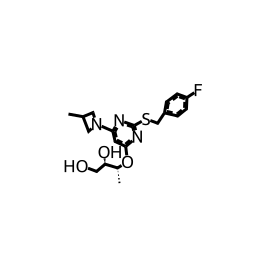 CC1CN(c2cc(O[C@H](C)[C@@H](O)CO)nc(SCc3ccc(F)cc3)n2)C1